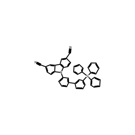 N#Cc1ccc2c(c1)c1cc(C#N)ccc1n2-c1cccc(-c2cccc([Si](c3ccccc3)(c3ccccc3)c3ccccc3)c2)c1